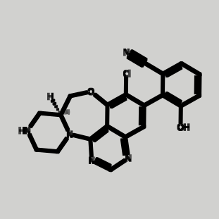 N#Cc1cccc(O)c1-c1cc2ncnc3c2c(c1Cl)OC[C@@H]1CNCCN31